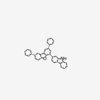 c1ccc(-c2ccc3oc4c(-c5ccc6c(c5)[nH]c5ccccc56)cc(-c5ccccc5)cc4c3c2)cc1